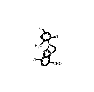 Cc1cc(Cl)cc(Cl)c1N1CCn2c1nc1c(Cl)ccc(C=O)c12